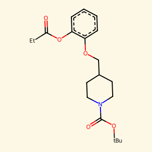 CCC(=O)Oc1ccccc1OCC1CCN(C(=O)OC(C)(C)C)CC1